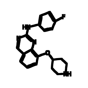 Fc1ccc(Nc2ncc3cccc(OC4CCNCC4)c3n2)cc1